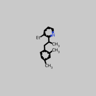 CCc1cccnc1C(C)Cc1ccc(C)cc1C